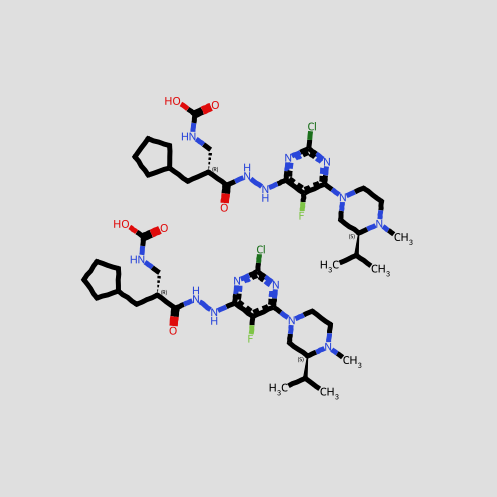 CC(C)[C@H]1CN(c2nc(Cl)nc(NNC(=O)[C@@H](CNC(=O)O)CC3CCCC3)c2F)CCN1C.CC(C)[C@H]1CN(c2nc(Cl)nc(NNC(=O)[C@@H](CNC(=O)O)CC3CCCC3)c2F)CCN1C